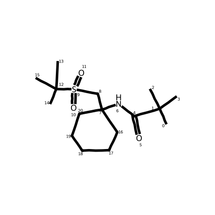 CC(C)(C)C(=O)NC1(CS(=O)(=O)C(C)(C)C)CCCCC1